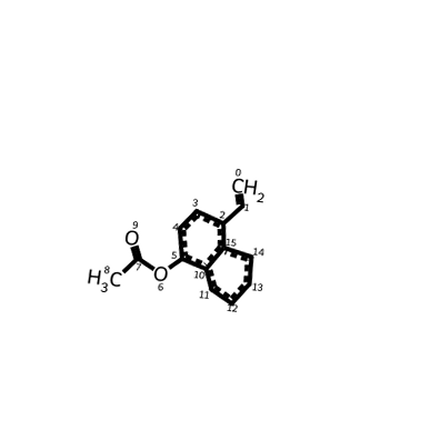 C=Cc1ccc(OC(C)=O)c2ccccc12